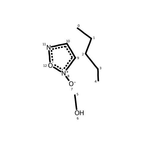 CCCCC.CO.[O-][n+]1ccno1